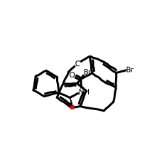 C[C@H](NC(=O)c1cc2c(Br)cc1CCc1ccc(cc1Br)CC2)c1ccccc1